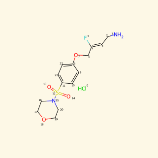 Cl.NCC=C(F)COc1ccc(S(=O)(=O)N2CCOCC2)cc1